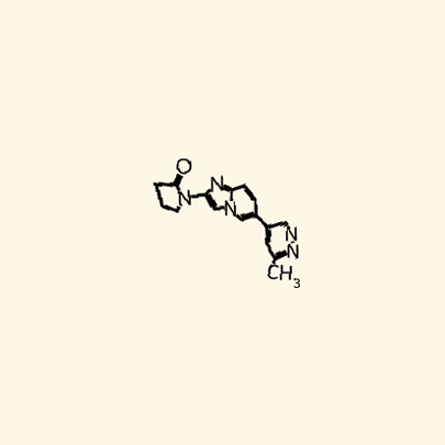 Cc1cc(-c2ccc3nc(N4CCCC4=O)cn3c2)cnn1